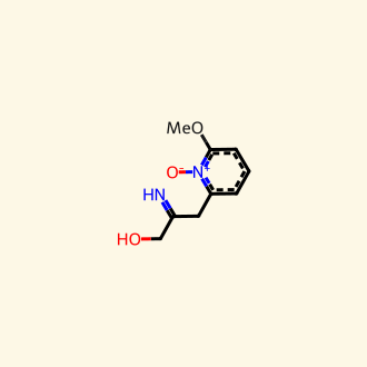 COc1cccc(CC(=N)CO)[n+]1[O-]